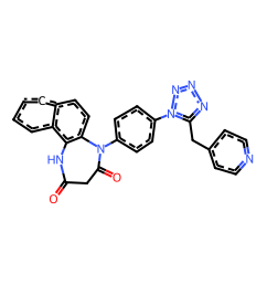 O=C1CC(=O)N(c2ccc(-n3nnnc3Cc3ccncc3)cc2)c2ccc3ccccc3c2N1